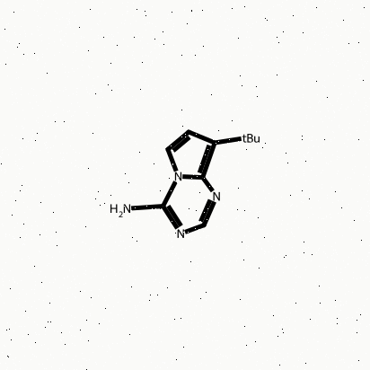 CC(C)(C)c1ccn2c(N)ncnc12